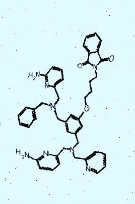 Nc1cccc(CN(Cc2ccccc2)Cc2cc(CN(Cc3ccccn3)Cc3cccc(N)n3)cc(OCCCCN3C(=O)c4ccccc4C3=O)c2)n1